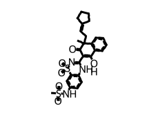 CC1(CC=C2CCCC2)C(=O)C(C2=NS(=O)(=O)c3cc(NS(C)(=O)=O)ccc3N2)=C(O)c2ccccc21